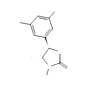 CCN1C(=O)O[C@H](c2cc(Cl)cc(Cl)c2)[C@H]1C